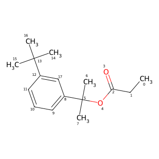 CCC(=O)OC(C)(C)c1cccc(C(C)(C)C)c1